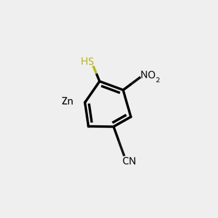 N#Cc1ccc(S)c([N+](=O)[O-])c1.[Zn]